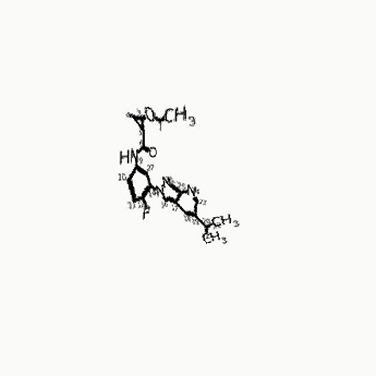 CCOC1CC1C(=O)Nc1ccc(F)c(-n2cc3cc(C(C)C)cnc3n2)c1